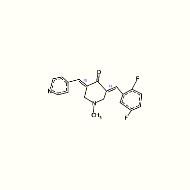 CN1C/C(=C\c2ccncc2)C(=O)/C(=C/c2cc(F)ccc2F)C1